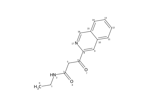 CCNC(=O)CC(=O)c1cc2ccccc2cn1